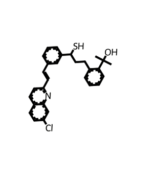 CC(C)(O)c1ccccc1CCC(S)c1cccc(/C=C/c2ccc3ccc(Cl)cc3n2)c1